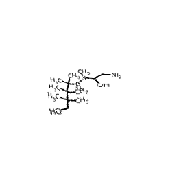 BCC(O)N(C)BC(C)(C)C(C)(C)C(C)(C)CO